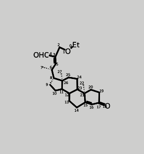 CCOC/C(C=O)=C/[C@@H](C)[C@H]1CCC2C3CCC4=CC(=O)CC[C@]4(C)C3CC[C@@]21C